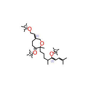 CC(C)=C/C=C(\O[Si](C)(C)C)C(C)CCCC1(C)OC/C(=C/CO[Si](C)(C)C)CC[C@H]1O[Si](C)(C)C